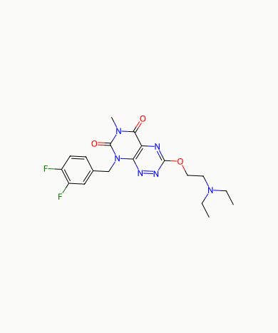 CCN(CC)CCOc1nnc2c(n1)c(=O)n(C)c(=O)n2Cc1ccc(F)c(F)c1